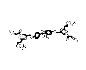 C=CC(=O)OCC(COc1ccc(C(C)(C)c2ccc(OCC(COC(=O)C=C)OC(=O)CCC(=O)O)cc2)cc1)OC(=O)CCC(=O)O